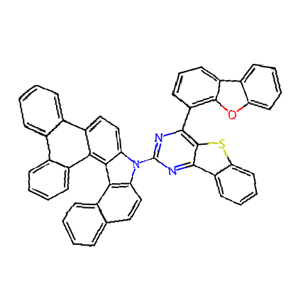 c1ccc2c(c1)ccc1c2c2c3c4ccccc4c4ccccc4c3ccc2n1-c1nc(-c2cccc3c2oc2ccccc23)c2sc3ccccc3c2n1